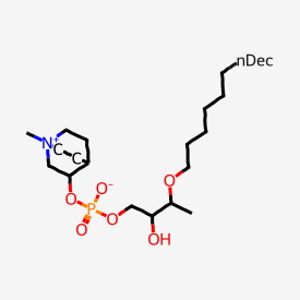 CCCCCCCCCCCCCCCCOC(C)C(O)COP(=O)([O-])OC1C[N+]2(C)CCC1CC2